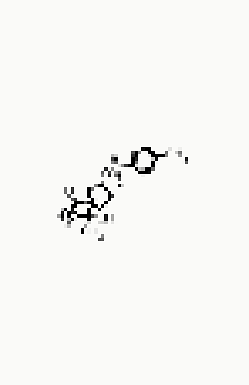 Cc1ccc(S(=O)(=O)O[C@@H]2CC[N+](C(=O)[O-])(C(C)(C)C)C2)cc1